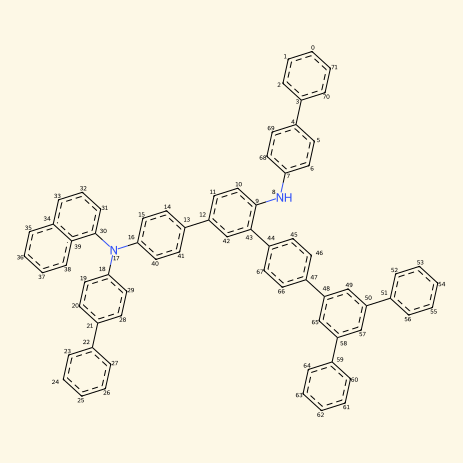 c1ccc(-c2ccc(Nc3ccc(-c4ccc(N(c5ccc(-c6ccccc6)cc5)c5cccc6ccccc56)cc4)cc3-c3ccc(-c4cc(-c5ccccc5)cc(-c5ccccc5)c4)cc3)cc2)cc1